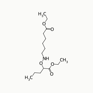 CCCC(ONCCCCCC(=O)OCC)C(=O)OCC